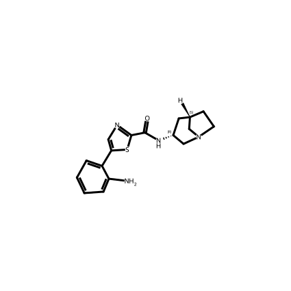 Nc1ccccc1-c1cnc(C(=O)N[C@@H]2C[C@@H]3CCN(C3)C2)s1